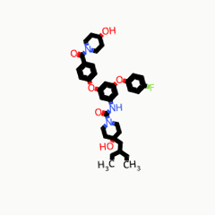 CCC(CC)CC1(O)CCN(C(=O)Nc2cc(Oc3ccc(F)cc3)cc(Oc3ccc(C(=O)N4CCC(O)CC4)cc3)c2)CC1